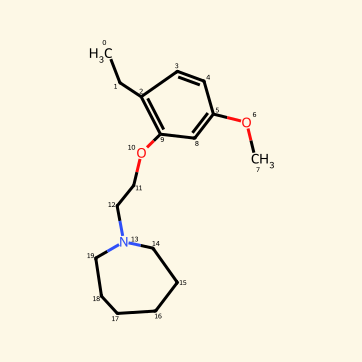 CCc1ccc(OC)cc1OCCN1CCCCCC1